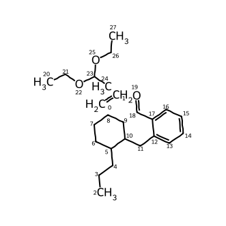 C=C.CCCC1CCCCC1Cc1ccccc1C=O.CCOC(C)OCC